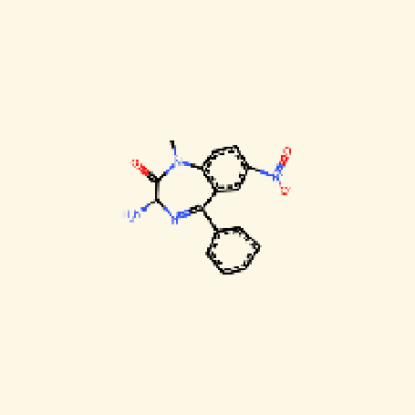 CN1C(=O)[C@H](N)N=C(c2ccccc2)c2cc([N+](=O)[O-])ccc21